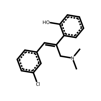 CN(C)CC(=Cc1cccc(Cl)c1)c1ccccc1O